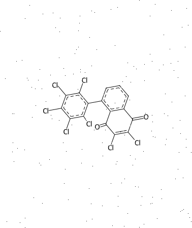 O=C1C(Cl)=C(Cl)C(=O)c2c1cccc2-c1c(Cl)c(Cl)c(Cl)c(Cl)c1Cl